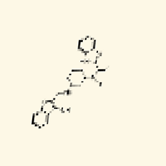 CCN(C(=O)c1nc2ccccc2[nH]1)C1CCCC(NCc2oc3ccccc3c2C#N)C1